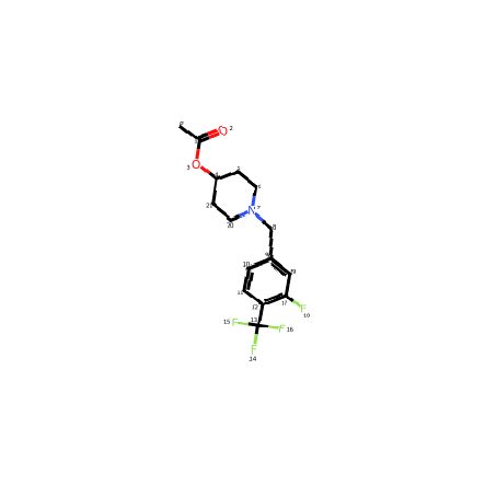 CC(=O)OC1CCN(Cc2ccc(C(F)(F)F)c(F)c2)CC1